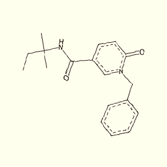 CCC(C)(C)NC(=O)c1ccc(=O)n(Cc2ccccc2)c1